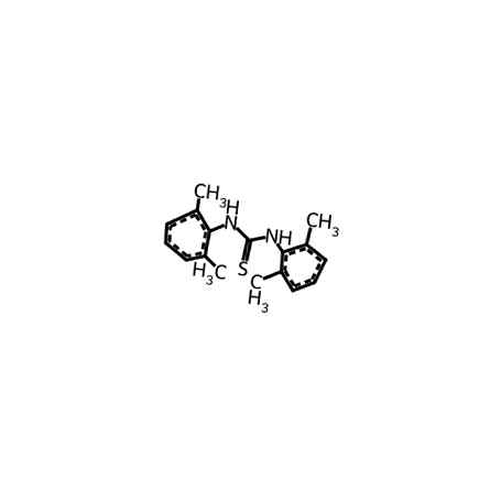 Cc1cccc(C)c1NC(=S)Nc1c(C)cccc1C